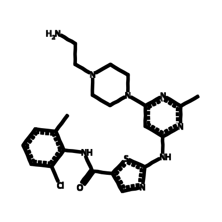 Cc1nc(Nc2ncc(C(=O)Nc3c(C)cccc3Cl)s2)cc(N2CCN(CCN)CC2)n1